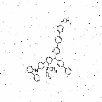 C=Cc1ccc(-c2ccc(-c3ccc(C(c4ccc(-c5ccccc5)cc4)c4ccc5c(c4)C(C)(C)c4cc(-n6c7ccccc7c7ccccc76)ccc4-5)cc3)cc2)cc1